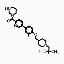 CC(C)(F)CN1CCC(COc2ccc(-c3ccc(C(=O)N4CCCNC4)nc3)cc2F)CC1